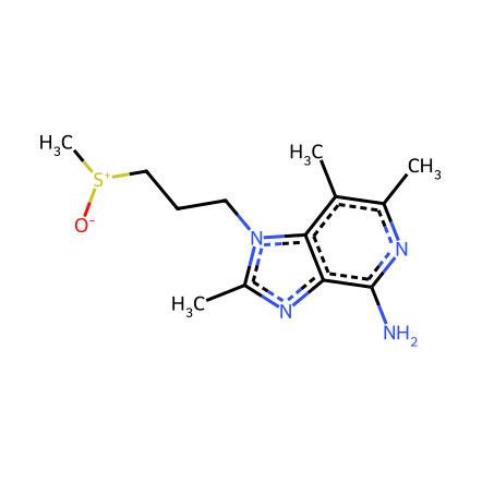 Cc1nc(N)c2nc(C)n(CCC[S+](C)[O-])c2c1C